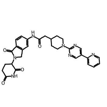 O=C1CCC(N2Cc3cc(NC(=O)CC4CCN(c5ncc(-c6ccccn6)cn5)CC4)ccc3C2=O)C(=O)N1